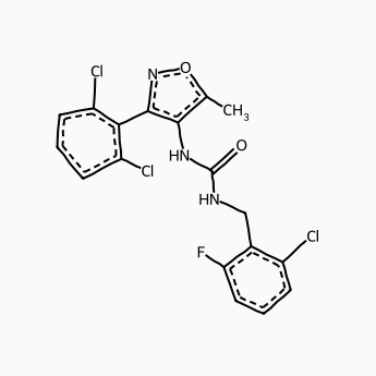 Cc1onc(-c2c(Cl)cccc2Cl)c1NC(=O)NCc1c(F)cccc1Cl